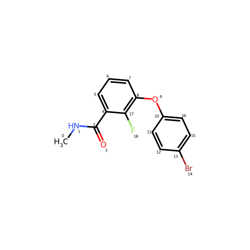 CNC(=O)c1cccc(Oc2ccc(Br)cc2)c1F